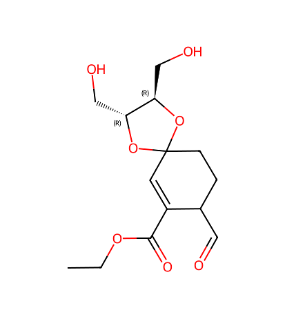 CCOC(=O)C1=CC2(CCC1C=O)O[C@H](CO)[C@@H](CO)O2